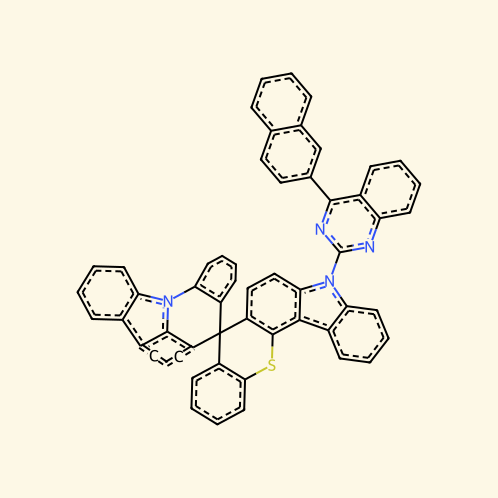 c1ccc2c(c1)Sc1c(ccc3c1c1ccccc1n3-c1nc(-c3ccc4ccccc4c3)c3ccccc3n1)C21c2ccccc2-n2c3ccccc3c3cccc1c32